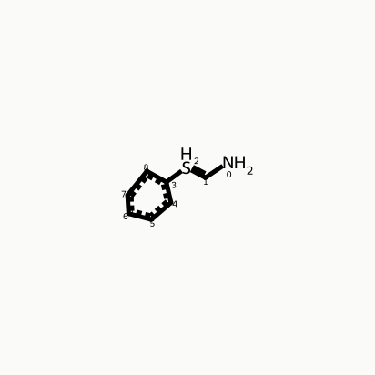 NC=[SH]c1ccccc1